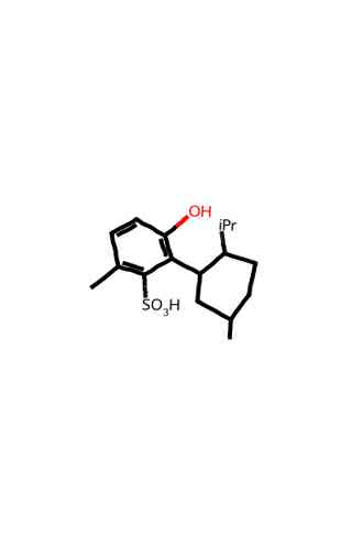 Cc1ccc(O)c(C2CC(C)CCC2C(C)C)c1S(=O)(=O)O